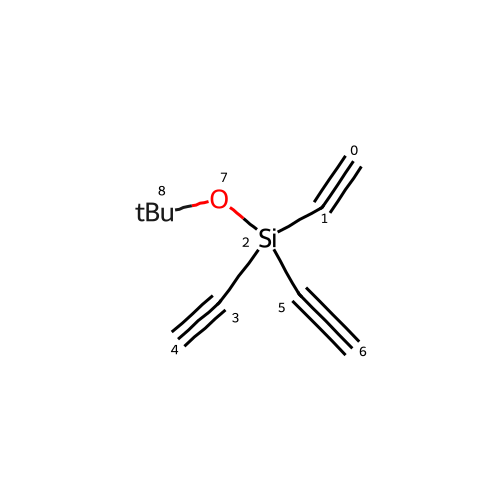 C#C[Si](C#C)(C#C)OC(C)(C)C